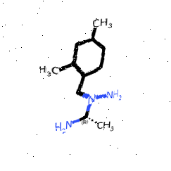 CC1CCC(CN(N)[C@H](C)N)C(C)C1